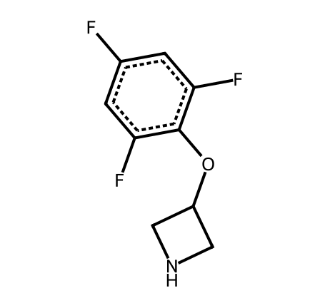 Fc1cc(F)c(OC2CNC2)c(F)c1